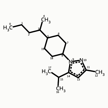 CCCC(C)C1CCC(n2nc(C)cc2C(C)C)CC1